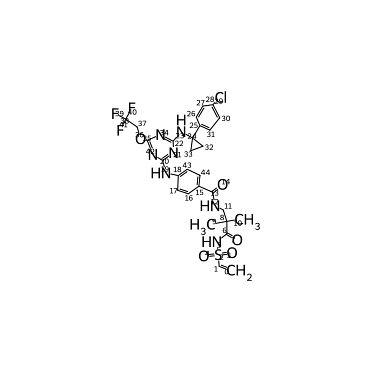 C=CS(=O)(=O)NC(=O)C(C)(C)CNC(=O)c1ccc(Nc2nc(NC3(c4ccc(Cl)cc4)CC3)nc(OCC(F)(F)F)n2)cc1